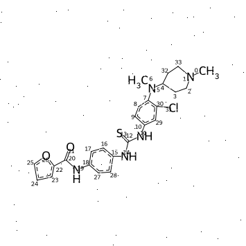 CN1CCC(N(C)c2ccc(NC(=S)Nc3ccc(NC(=O)c4ccco4)cc3)cc2Cl)CC1